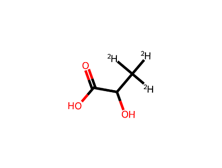 [2H]C([2H])([2H])C(O)C(=O)O